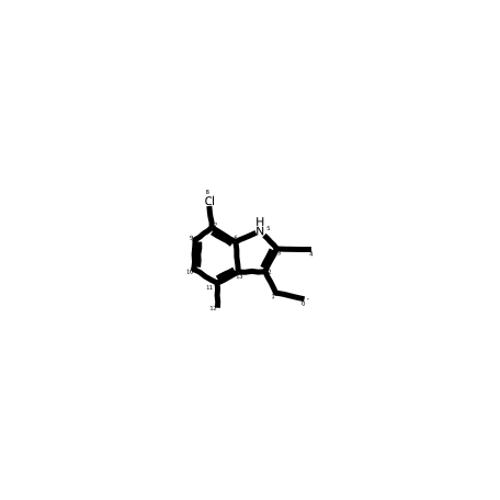 [CH2]Cc1c(C)[nH]c2c(Cl)ccc(C)c12